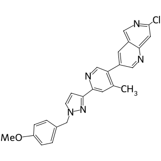 COc1ccc(Cn2ccc(-c3cc(C)c(-c4cnc5cc(Cl)ncc5c4)cn3)n2)cc1